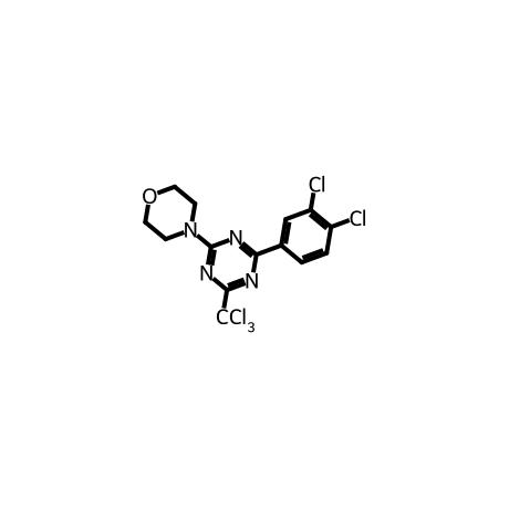 Clc1ccc(-c2nc(N3CCOCC3)nc(C(Cl)(Cl)Cl)n2)cc1Cl